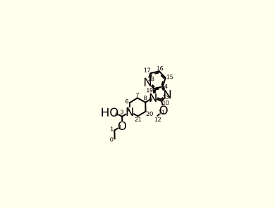 CCOC(O)N1CCC(n2c(OC)nc3cccnc32)CC1